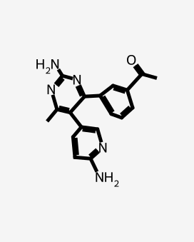 CC(=O)c1cccc(-c2nc(N)nc(C)c2-c2ccc(N)nc2)c1